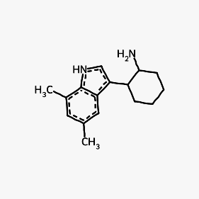 Cc1cc(C)c2[nH]cc(C3CCCCC3N)c2c1